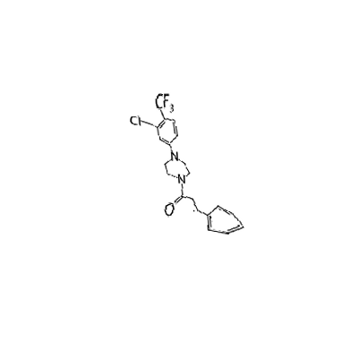 O=C(C[CH]c1ccccc1)N1CCN(c2ccc(C(F)(F)F)c(Cl)c2)CC1